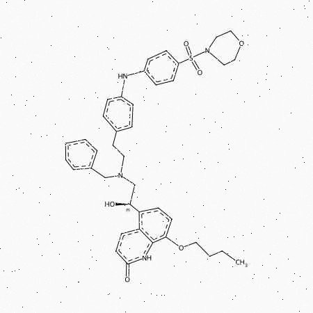 CCCCOc1ccc([C@@H](O)CN(CCc2ccc(Nc3ccc(S(=O)(=O)N4CCOCC4)cc3)cc2)Cc2ccccc2)c2ccc(=O)[nH]c12